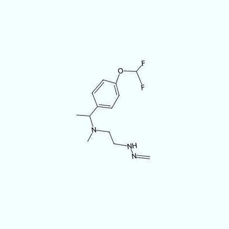 C=NNCCN(C)C(C)c1ccc(OC(F)F)cc1